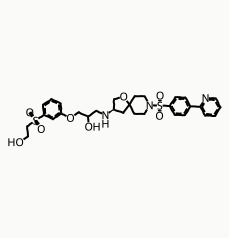 O=S(=O)(CCO)c1cccc(OCC(O)CN[C@H]2COC3(CCN(S(=O)(=O)c4ccc(-c5ccccn5)cc4)CC3)C2)c1